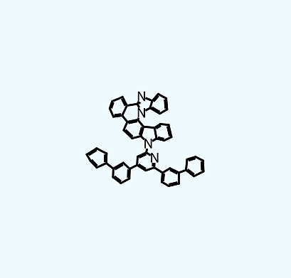 c1ccc(-c2cccc(-c3cc(-c4cccc(-c5ccccc5)c4)nc(-n4c5ccccc5c5c4ccc4c6ccccc6c6nc7ccccc7n6c45)c3)c2)cc1